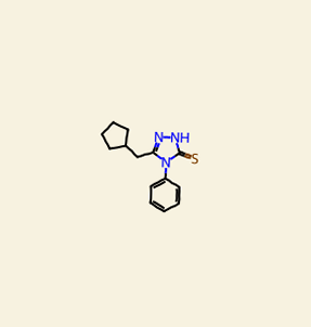 S=c1[nH]nc(CC2CCCC2)n1-c1ccccc1